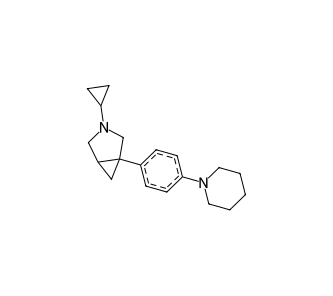 c1cc(C23CC2CN(C2CC2)C3)ccc1N1CCCCC1